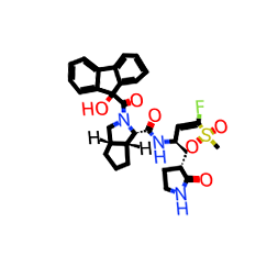 CS(=O)(=O)/C(F)=C\[C@@H](C[C@H]1CCNC1=O)NC(=O)[C@@H]1[C@@H]2CCC[C@@H]2CN1C(=O)C1(O)c2ccccc2-c2ccccc21